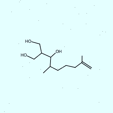 C=C(C)CCCC(C)C(O)C(CO)CO